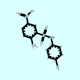 Cc1ccc([N+](=O)[O-])cc1S(=O)(=O)Nc1ccc(Cl)cc1